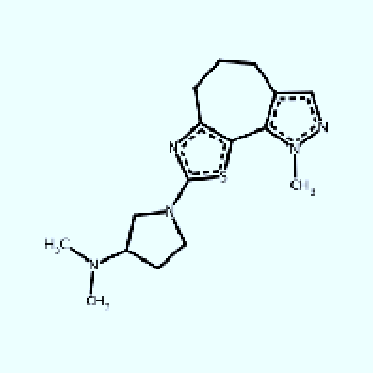 CN(C)C1CCN(c2nc3c(s2)-c2c(cnn2C)CCC3)C1